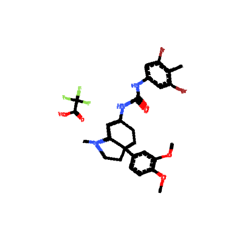 COc1ccc(C23CCC(NC(=O)Nc4cc(Br)c(C)c(Br)c4)CC2N(C)CC3)cc1OC.O=C(O)C(F)(F)F